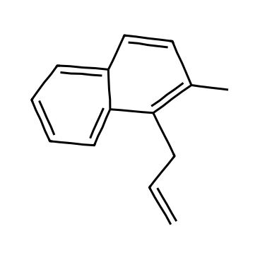 C=CCc1c(C)ccc2ccccc12